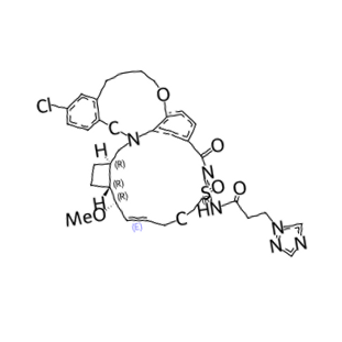 CO[C@H]1/C=C/CCC[S@@](=O)(NC(=O)CCn2cncn2)=NC(=O)c2ccc3c(c2)N(Cc2ccc(Cl)cc2CCCCO3)C[C@@H]2CC[C@H]21